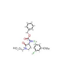 COc1cc(F)c([C@@H]2CN(CC(=O)O)C(=O)[C@H]2NC(=O)OCc2ccccc2)c(F)c1